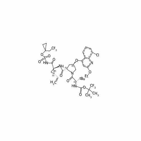 C=C[C@@H]1C[C@]1(NC(=O)[C@@H]1C[C@@H](Oc2cc(OCC)nc3c(Cl)cccc23)CN1C(=O)[C@@H](NC(=O)OC(C)(C)C(F)(F)F)C(C)(C)C)C(=O)NS(=O)(=O)OC1(CC(F)(F)F)CC1